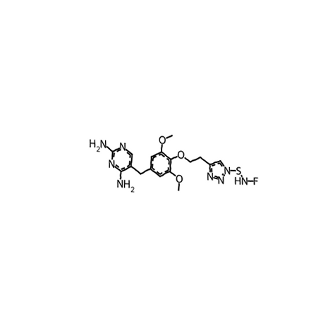 COc1cc(Cc2cnc(N)nc2N)cc(OC)c1OCCc1cn(SNF)nn1